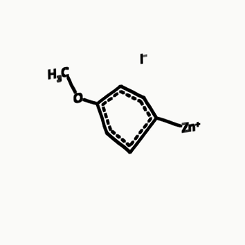 COc1cc[c]([Zn+])cc1.[I-]